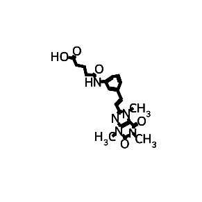 Cn1c(=O)c2c(nc(C=Cc3cccc(NC(=O)CCCC(=O)O)c3)n2C)n(C)c1=O